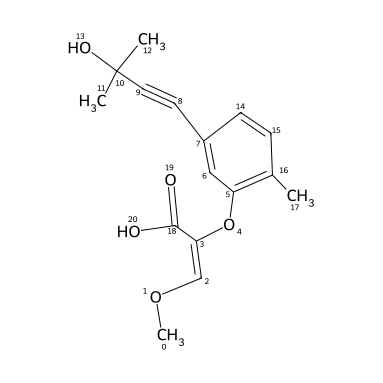 COC=C(Oc1cc(C#CC(C)(C)O)ccc1C)C(=O)O